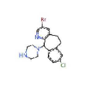 Clc1ccc2c(c1)CCc1cc(Br)cnc1C2N1CCNCC1